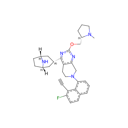 C#Cc1c(F)ccc2cccc(N3CCc4c(nc(OC[C@@H]5CCCN5C)nc4[C@H]4C[C@H]5CC[C@@H](C4)N5)C3)c12